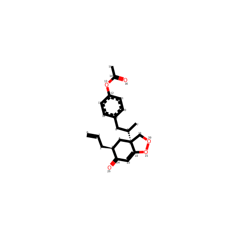 C=CC[C@H]1C[C@@]2(C(C)Cc3ccc(OC(C)=O)cc3)COOC2=CC1=O